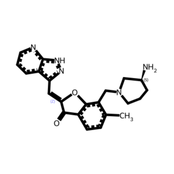 Cc1ccc2c(c1CN1CCC[C@H](N)C1)O/C(=C\c1n[nH]c3ncccc13)C2=O